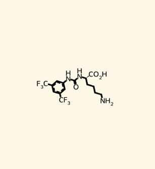 NCCCC[C@H](NC(=O)Nc1cc(C(F)(F)F)cc(C(F)(F)F)c1)C(=O)O